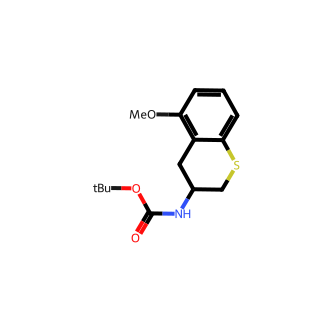 COc1cccc2c1CC(NC(=O)OC(C)(C)C)CS2